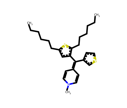 CCCCCCc1cc(C(=C2C=CN(C)C=C2)c2ccsc2)c(CCCCCC)s1